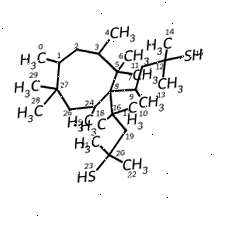 CC1CC(C)C(C)(C)C(C(C)CC(C)(C)S)(C(C)(C)CC(C)(C)S)C(C)CC1(C)C